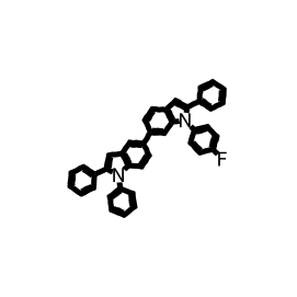 Fc1ccc(-n2c(-c3ccccc3)cc3ccc(-c4ccc5c(c4)cc(-c4ccccc4)n5-c4ccccc4)cc32)cc1